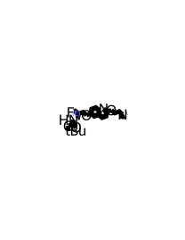 CN(C)CCOc1ccc2cc(OC/C(=C/F)CNC(=O)OC(C)(C)C)ccc2n1